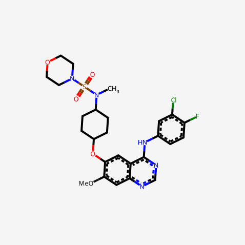 COc1cc2ncnc(Nc3ccc(F)c(Cl)c3)c2cc1OC1CCC(N(C)S(=O)(=O)N2CCOCC2)CC1